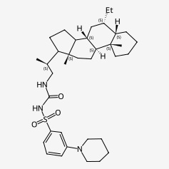 CC[C@H]1C[C@H]2C3CCC([C@H](C)CNC(=O)NS(=O)(=O)c4cccc(N5CCCCC5)c4)[C@@]3(C)CC[C@@H]2[C@@]2(C)CCCC[C@@H]12